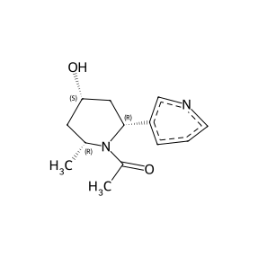 CC(=O)N1[C@H](C)C[C@H](O)C[C@@H]1c1cccnc1